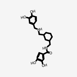 O=C(NCC1CCCC(CNCc2ccc(O)c(O)c2)C1)c1ccc(O)c(O)c1